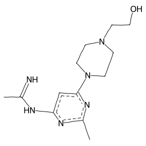 CC(=N)Nc1cc(N2CCN(CCO)CC2)nc(C)n1